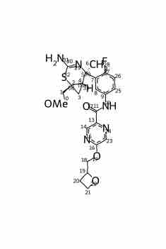 COC[C@]12C[C@H]1[C@](C)(c1cc(NC(=O)c3cnc(OCC4CCO4)cn3)ccc1F)N=C(N)S2